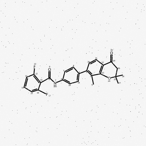 Cc1c(-c2ccc(NC(=O)c3c(F)cccc3F)cc2)ccc2c1OC(C)(C)CC2=O